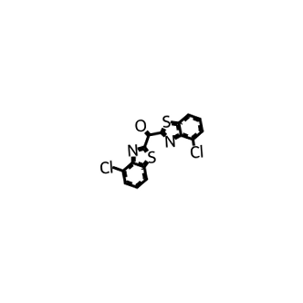 O=C(c1nc2c(Cl)cccc2s1)c1nc2c(Cl)cccc2s1